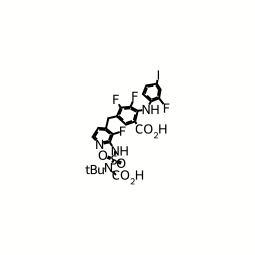 CC(C)(C)N(C(=O)O)S(=O)(=O)Nc1nccc(Cc2cc(C(=O)O)c(Nc3ccc(I)cc3F)c(F)c2F)c1F